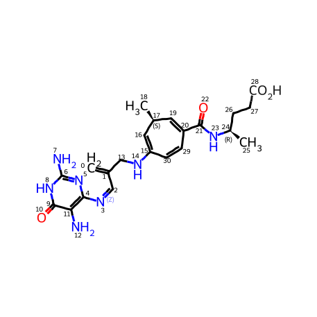 C=C(/C=N\c1nc(N)[nH]c(=O)c1N)CNC1=C[C@@H](C)C=C(C(=O)N[C@H](C)CCC(=O)O)C=C1